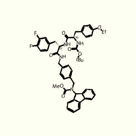 CCOc1ccc(C[C@@H](NC(=O)OC(C)(C)C)C(=O)N[C@@H](Cc2ccc(F)c(F)c2)C(=O)NCc2ccc(CN(C(=O)OC)C3c4ccccc4-c4ccccc43)cc2)cc1